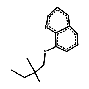 CCC(C)(C)CSc1cccc2cccnc12